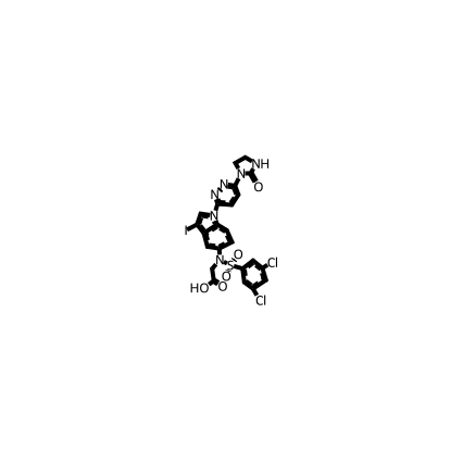 O=C(O)CN(c1ccc2c(c1)c(I)cn2-c1ccc(N2CCNC2=O)nn1)S(=O)(=O)c1cc(Cl)cc(Cl)c1